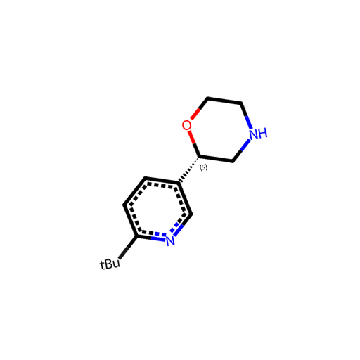 CC(C)(C)c1ccc([C@H]2CNCCO2)cn1